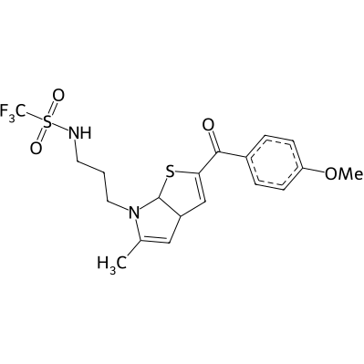 COc1ccc(C(=O)C2=CC3C=C(C)N(CCCNS(=O)(=O)C(F)(F)F)C3S2)cc1